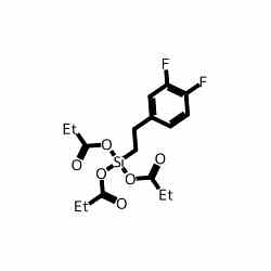 CCC(=O)O[Si](CCc1ccc(F)c(F)c1)(OC(=O)CC)OC(=O)CC